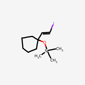 C[Si](C)(C)OC1(C=CI)CCCCC1